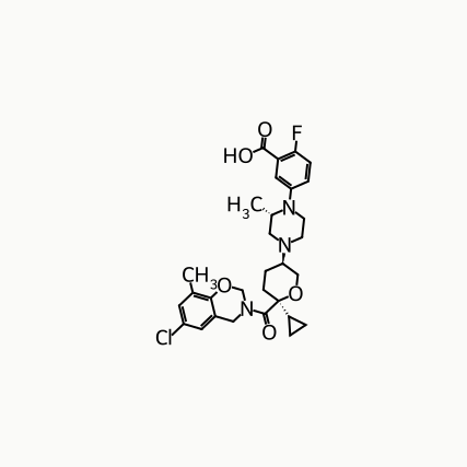 Cc1cc(Cl)cc2c1OCN(C(=O)[C@@]1(C3CC3)CC[C@@H](N3CCN(c4ccc(F)c(C(=O)O)c4)[C@@H](C)C3)CO1)C2